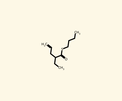 C=CCC(CC)C(=O)SCCCC